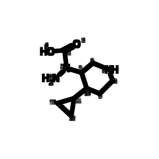 NN(C(=O)O)C1CNCCC1C1CC1